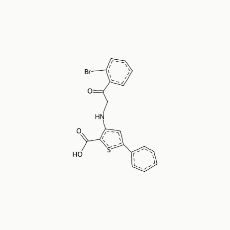 O=C(CNc1cc(-c2ccccc2)sc1C(=O)O)c1ccccc1Br